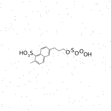 Cc1ccc2cc(CCCOSOOO)ccc2c1S(=O)(=O)O